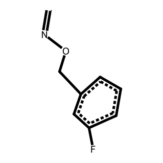 [CH]=NOCc1cccc(F)c1